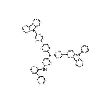 c1ccc(-c2ccccc2Nc2ccc(N(c3ccc(-c4ccc(-n5c6ccccc6c6ccccc65)cc4)cc3)c3ccc(-c4ccc5c(c4)c4ccccc4n5-c4ccccc4)cc3)cc2)cc1